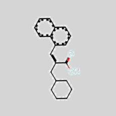 O=C(O)C(=Cc1cccc2ccccc12)CC1CCCCC1